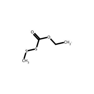 [CH2]COC(=O)SSC